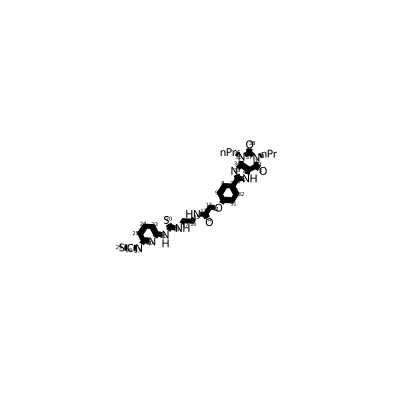 CCCn1c(=O)c2[nH]c(-c3ccc(OCC(=O)NCCNC(=S)Nc4cccc(N=C=S)n4)cc3)nc2n(CCC)c1=O